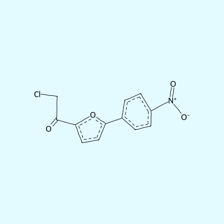 O=C(CCl)c1ccc(-c2ccc([N+](=O)[O-])cc2)o1